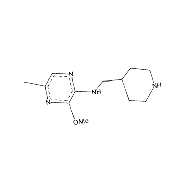 COc1nc(C)cnc1NCC1CCNCC1